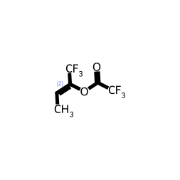 C/C=C(\OC(=O)C(F)(F)F)C(F)(F)F